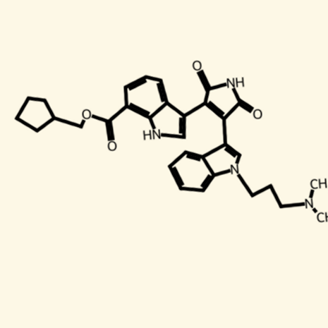 CN(C)CCCn1cc(C2=C(c3c[nH]c4c(C(=O)OCC5CCCC5)cccc34)C(=O)NC2=O)c2ccccc21